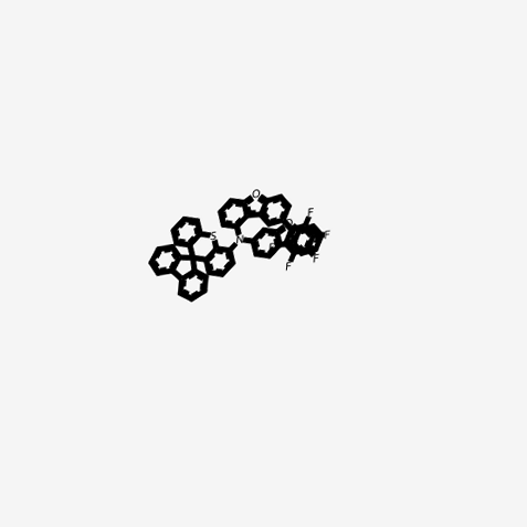 Fc1c(F)c(F)c(-c2ccc3oc4cccc(N(c5ccc6c(c5)oc5ccccc56)c5cccc6c5Sc5ccccc5C65c6ccccc6-c6ccccc65)c4c3c2)c(F)c1F